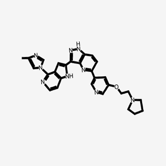 Cc1cn(-c2nccc3[nH]c(-c4n[nH]c5ccc(-c6cncc(OCCN7CCCC7)c6)nc45)cc23)cn1